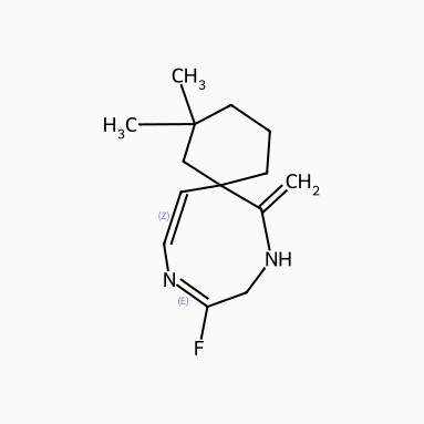 C=C1NC/C(F)=N\C=C/C12CCCC(C)(C)C2